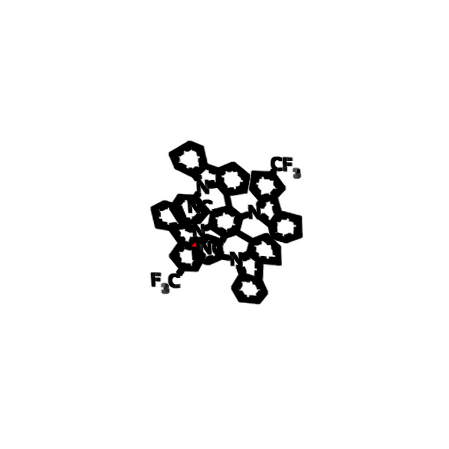 N#Cc1c(-c2cccc3c4ccccc4n(-c4ccccc4)c23)c(-n2c3ccccc3c3cc(C(F)(F)F)ccc32)c(-c2cccc3c4ccccc4n(-c4ccccc4)c23)c(C#N)c1-n1c2ccccc2c2cc(C(F)(F)F)ccc21